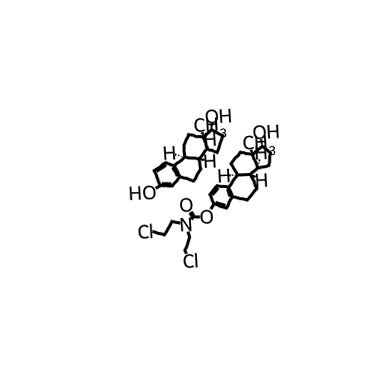 C[C@]12CC[C@@H]3c4ccc(O)cc4CC[C@H]3[C@@H]1CC[C@@H]2O.C[C@]12CC[C@@H]3c4ccc(OC(=O)N(CCCl)CCCl)cc4CC[C@H]3[C@@H]1CC[C@@H]2O